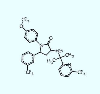 CC(C)(NC1CC(c2cccc(C(F)(F)F)c2)N(c2ccc(OC(F)(F)F)cc2)C1=O)c1cccc(C(F)(F)F)n1